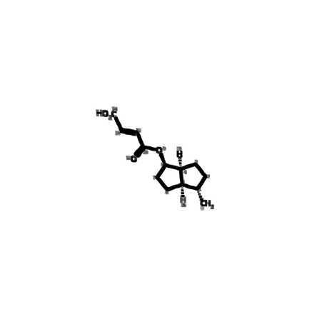 C[C@H]1CC[C@H]2[C@@H]1CC[C@H]2OC(=O)C=CC(=O)O